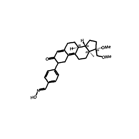 COC[C@]1(OC)CC[C@H]2[C@@H]3CCC4=CC(=O)C(c5ccc(C=NO)cc5)CC4=C3CC[C@@]21C